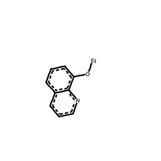 [CH2]COc1cccc2cccnc12